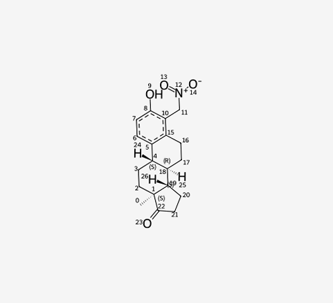 C[C@]12CC[C@@H]3c4ccc(O)c(C[N+](=O)[O-])c4CC[C@H]3[C@@H]1CCC2=O